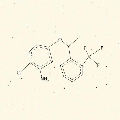 CC(Oc1ccc(Cl)c(N)c1)c1ccccc1C(F)(F)F